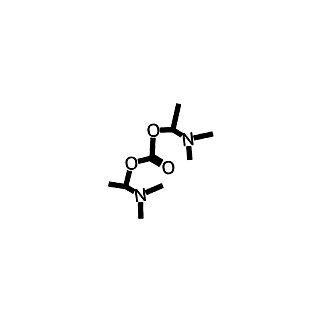 CC(OC(=O)OC(C)N(C)C)N(C)C